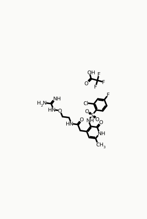 Cc1cc(CC(=O)NCCONC(=N)N)c(NS(=O)(=O)c2ccc(F)cc2Cl)c(=O)[nH]1.O=C(O)C(F)(F)F